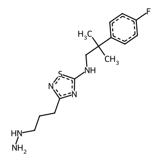 CC(C)(CNc1nc(CCCNN)ns1)c1ccc(F)cc1